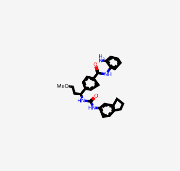 COCCC(NC(=O)Nc1ccc2c(c1)CCC2)c1ccc(C(=O)Nc2ccccc2N)cc1